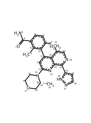 Cc1ccc(C(N)=O)c(C)c1-c1cc(N2CCOC[C@H]2C)nc2c(-c3ccn[nH]3)ncc(C)c12